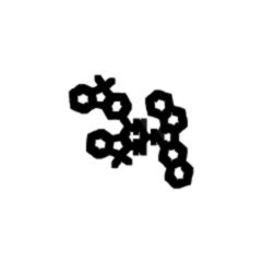 CC1(C)c2ccccc2-c2cc(-c3nc(-n4c5cc6ccccc6cc5c5ccc6ccccc6c54)nc4c3-c3ccccc3C4(C)C)ccc21